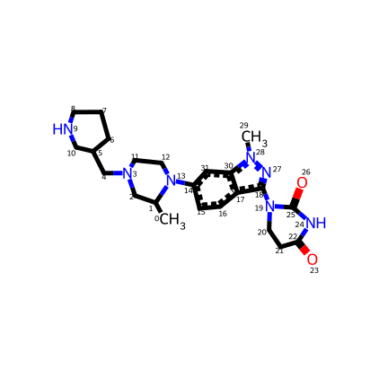 CC1CN(CC2CCCNC2)CCN1c1ccc2c(N3CCC(=O)NC3=O)nn(C)c2c1